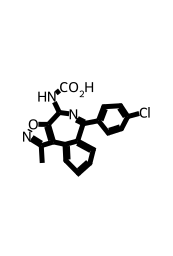 Cc1noc2c1-c1ccccc1C(c1ccc(Cl)cc1)=NC2NC(=O)O